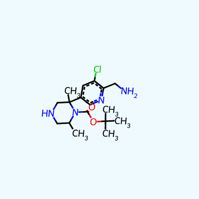 CC1CNCC(C)(c2cnc(CN)c(Cl)c2)N1C(=O)OC(C)(C)C